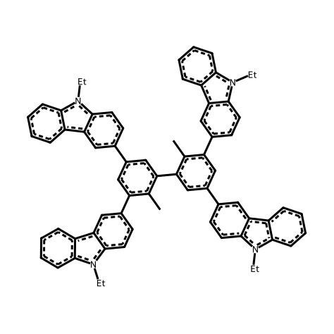 CCn1c2ccccc2c2cc(-c3cc(-c4ccc5c(c4)c4ccccc4n5CC)c(C)c(-c4cc(-c5ccc6c(c5)c5ccccc5n6CC)cc(-c5ccc6c(c5)c5ccccc5n6CC)c4C)c3)ccc21